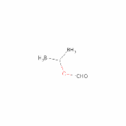 BC(B)OC=O